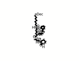 CCCCCCCCCCCCCCCCCC(=O)NCCCCC(NC(=O)C1(C)COC(c2ccccc2O)=N1)C(=O)OC(C)CC(=O)NC1CCCCNC1=O